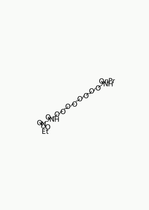 CCCNC(=O)CCOCCOCCOCCOCCOCCOCCOCCOCCNC(=O)CCN1C(=O)CC(CC)C1=O